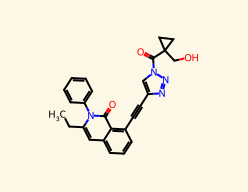 CCc1cc2cccc(C#Cc3cn(C(=O)C4(CO)CC4)nn3)c2c(=O)n1-c1ccccc1